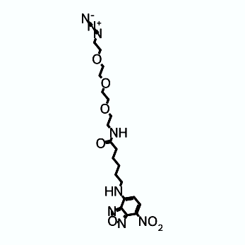 [N-]=[N+]=NCCOCCOCCOCCNC(=O)CCCCCNc1ccc([N+](=O)[O-])c2nonc12